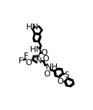 O=C(NCC(=O)N1C[C@H](OC(F)F)C[C@H]1C(=O)NCc1ccc2c(c1)CCNC2)c1ccc2c(c1)Oc1ccccc1S2